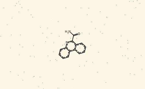 NC(=O)c1nc2ccccc2c2ccccc12